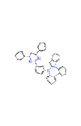 c1ccc(-c2cc(-c3ccccc3)nc(-c3cccc(N4c5ccccc5-c5ccccc5-n5c4cc4ccccc45)c3)n2)cc1